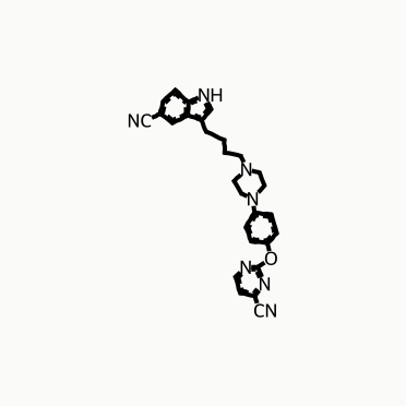 N#Cc1ccc2[nH]cc(CCCCN3CCN(c4ccc(Oc5nccc(C#N)n5)cc4)CC3)c2c1